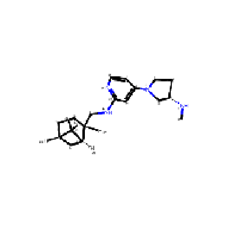 CN[C@H]1CCN(c2ccnc(NC[C@H]3CC[C@H]4C[C@H]3C4(C)C)c2)C1